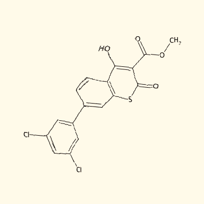 COC(=O)c1c(O)c2ccc(-c3cc(Cl)cc(Cl)c3)cc2sc1=O